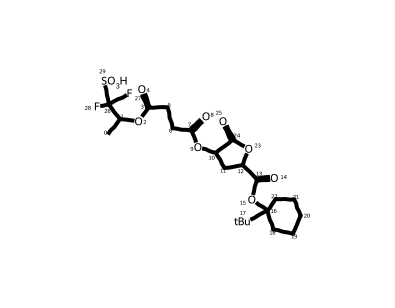 CC(OC(=O)CCC(=O)OC1CC(C(=O)OC2(C(C)(C)C)CCCCC2)OC1=O)C(F)(F)S(=O)(=O)O